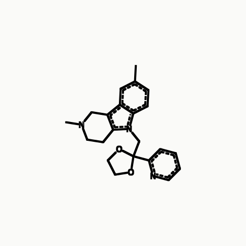 Cc1ccc2c(c1)c1c(n2CC2(c3ccccn3)OCCO2)CCN(C)C1